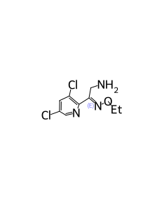 CCO/N=C(\CN)c1ncc(Cl)cc1Cl